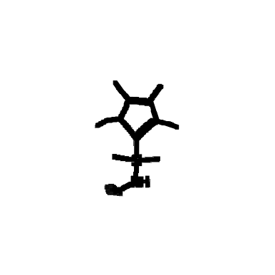 CC1=C(C)C(C)C([Si](C)(C)NC(C)(C)C)=C1C